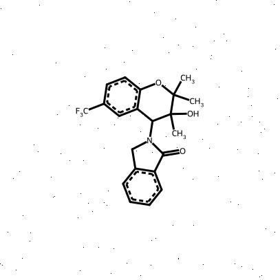 CC1(C)Oc2ccc(C(F)(F)F)cc2C(N2Cc3ccccc3C2=O)C1(C)O